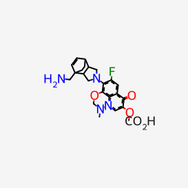 CN1COc2c(N3CC4C5C=CC(CN)(CC5)C4C3)c(F)cc3c(=O)c(OC(=O)O)cn1c23